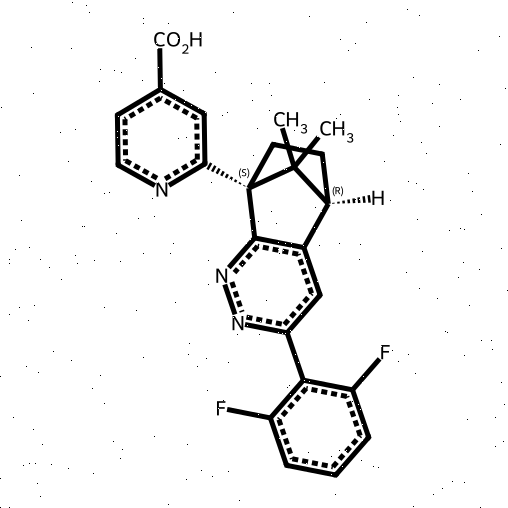 CC1(C)[C@H]2CC[C@]1(c1cc(C(=O)O)ccn1)c1nnc(-c3c(F)cccc3F)cc12